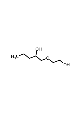 CCCC(O)COCCO